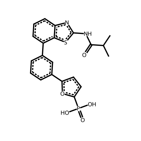 CC(C)C(=O)Nc1nc2cccc(-c3cccc(-c4ccc(P(=O)(O)O)o4)c3)c2s1